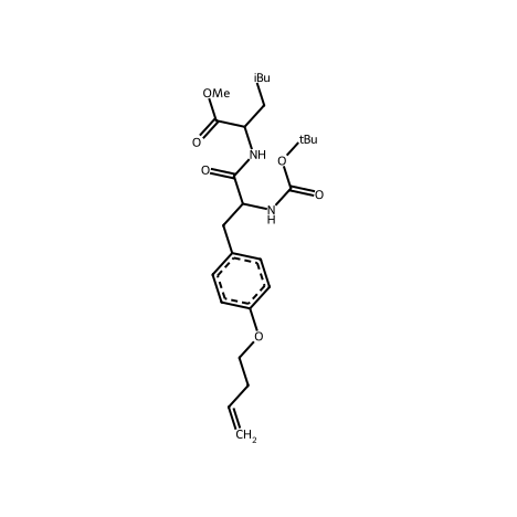 C=CCCOc1ccc(CC(NC(=O)OC(C)(C)C)C(=O)NC(CC(C)CC)C(=O)OC)cc1